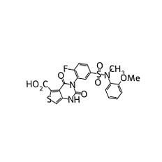 COc1ccccc1N(C)S(=O)(=O)c1ccc(F)c(-n2c(=O)[nH]c3csc(C(=O)O)c3c2=O)c1